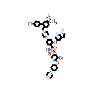 CC1(C)CCC(CN2CCN(c3ccc(C(=O)NS(=O)(=O)c4cnc(OC5CCC(N6CCOCC6)CC5)c(Br)c4)c(Oc4cnc5[nH]ccc5c4)c3)CC2)=C(c2ccc(Cl)cc2)C1